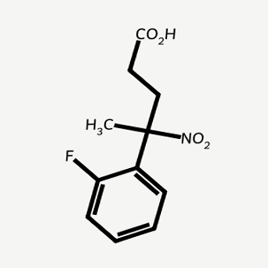 CC(CCC(=O)O)(c1ccccc1F)[N+](=O)[O-]